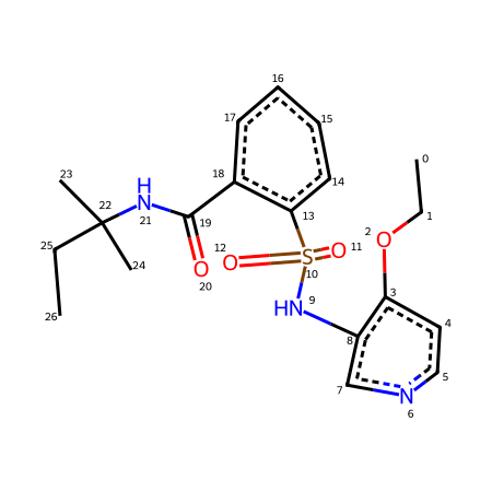 CCOc1ccncc1NS(=O)(=O)c1ccccc1C(=O)NC(C)(C)CC